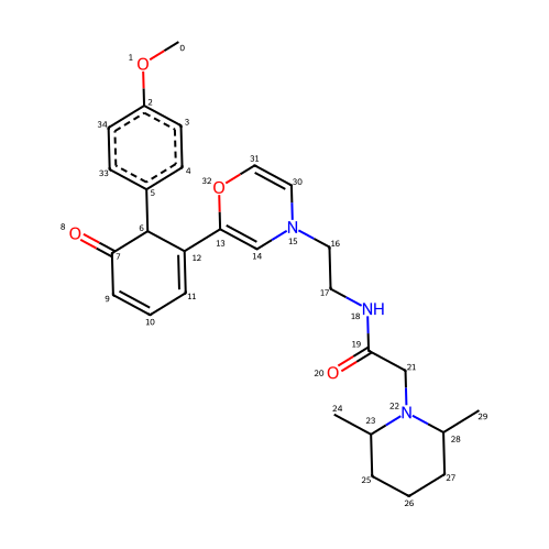 COc1ccc(C2C(=O)C=CC=C2C2=CN(CCNC(=O)CN3C(C)CCCC3C)C=CO2)cc1